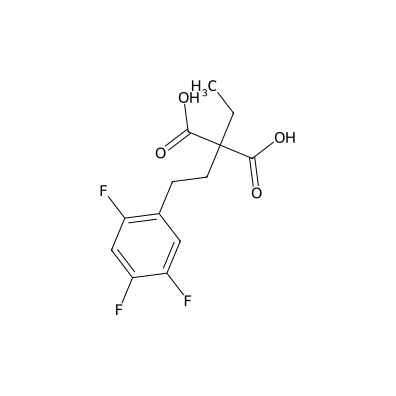 CCC(CCc1cc(F)c(F)cc1F)(C(=O)O)C(=O)O